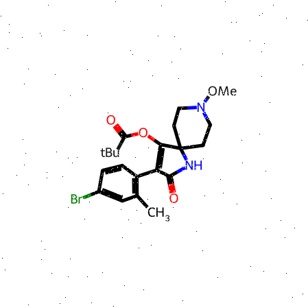 CON1CCC2(CC1)NC(=O)C(c1ccc(Br)cc1C)=C2OC(=O)C(C)(C)C